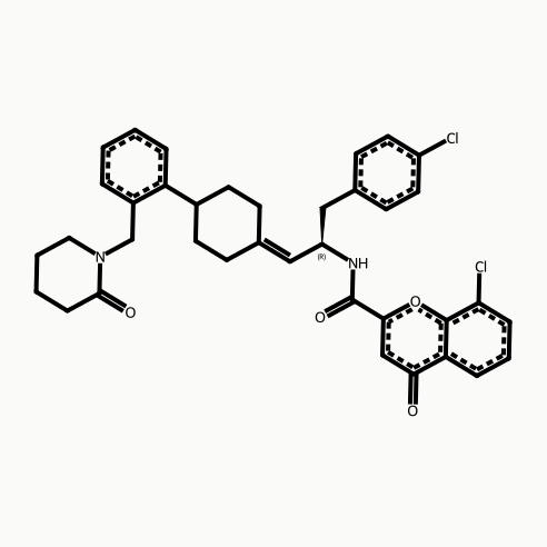 O=C(N[C@@H](C=C1CCC(c2ccccc2CN2CCCCC2=O)CC1)Cc1ccc(Cl)cc1)c1cc(=O)c2cccc(Cl)c2o1